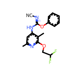 Cc1cc(N/C(=N\C#N)Oc2ccccc2)c(C)c(OCC(F)F)n1